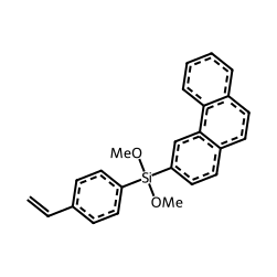 C=Cc1ccc([Si](OC)(OC)c2ccc3ccc4ccccc4c3c2)cc1